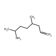 C=CCC(C)CCC(C)N